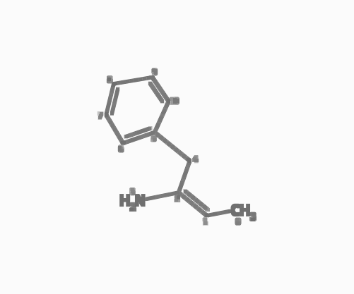 C/C=C(/N)Cc1ccccc1